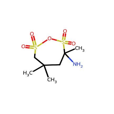 CC1(C)CC(C)(N)S(=O)(=O)OS(=O)(=O)C1